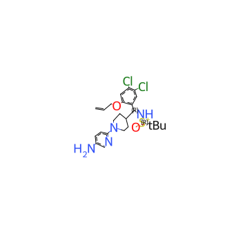 C=CCOc1cc(Cl)c(Cl)cc1[C@H](N[S@@+]([O-])C(C)(C)C)C1CCN(c2ccc(N)cn2)CC1